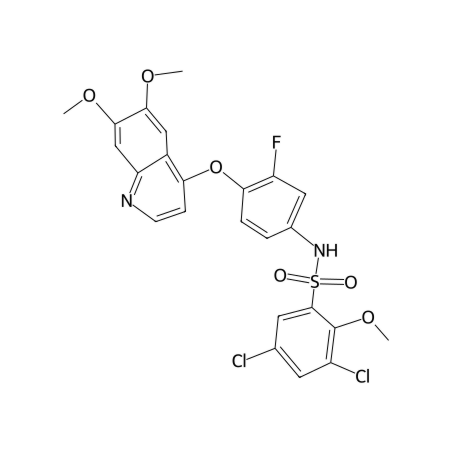 COc1cc2nccc(Oc3ccc(NS(=O)(=O)c4cc(Cl)cc(Cl)c4OC)cc3F)c2cc1OC